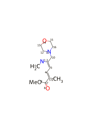 C=N/C(=C\C=C(/C)C(=O)OC)CN1CCOCC1